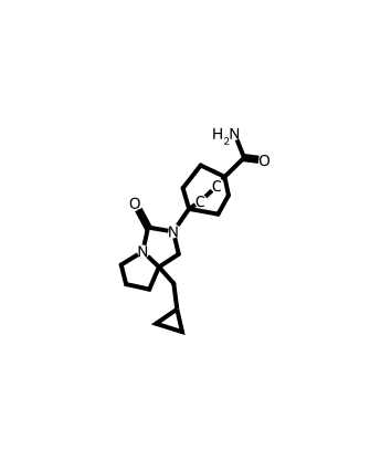 NC(=O)C12CCC(N3CC4(CC5CC5)CCCN4C3=O)(CC1)CC2